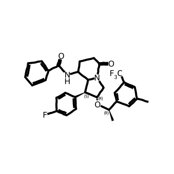 Cc1cc([C@@H](C)O[C@H]2CN3C(=O)CCC(NC(=O)c4ccccc4)C3[C@@H]2c2ccc(F)cc2)cc(C(F)(F)F)c1